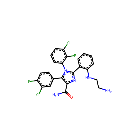 NCCNc1ccccc1-c1nc(C(N)=O)c(-c2ccc(F)c(Cl)c2)n1-c1cccc(Cl)c1F